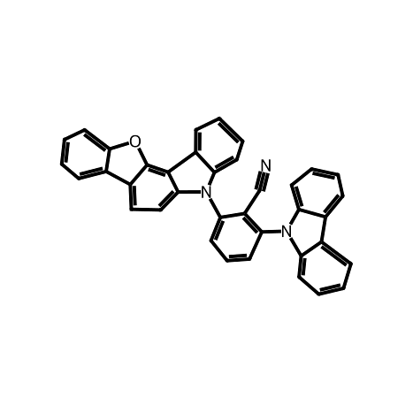 N#Cc1c(-n2c3ccccc3c3ccccc32)cccc1-n1c2ccccc2c2c3oc4ccccc4c3ccc21